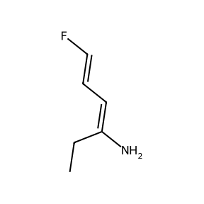 CC/C(N)=C\C=C\F